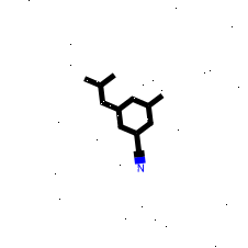 CC(C)CC1CC(C)CC(C#N)C1